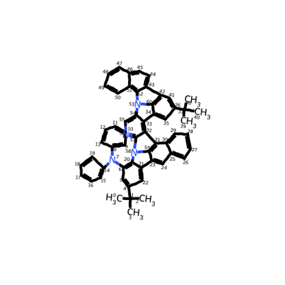 CC(C)(C)c1cc(N(c2ccccc2)c2ccccc2)c2c(c1)c1cc3ccccc3c3c4c5c6cc(C(C)(C)C)cc7c8ccc9ccccc9c8n(c5cnc4n2c13)c76